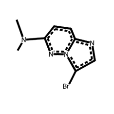 CN(C)c1ccc2ncc(Br)n2n1